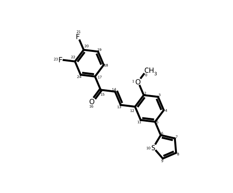 COc1ccc(-c2cccs2)cc1/C=C/C(=O)c1ccc(F)c(F)c1